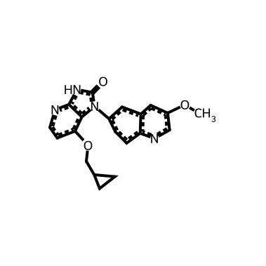 COc1cnc2ccc(-n3c(=O)[nH]c4nccc(OCC5CC5)c43)cc2c1